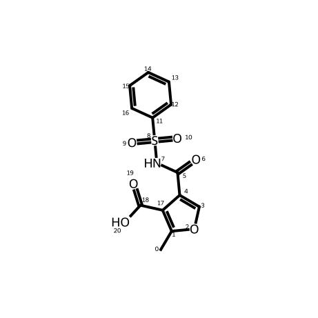 Cc1occ(C(=O)NS(=O)(=O)c2ccccc2)c1C(=O)O